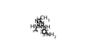 Cc1cnn2c(NC3CC3)nc(Nc3cccc(N)c3)nc12